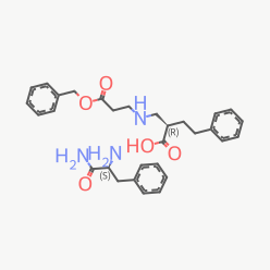 NC(=O)[C@@H](N)Cc1ccccc1.O=C(CCNC[C@@H](CCc1ccccc1)C(=O)O)OCc1ccccc1